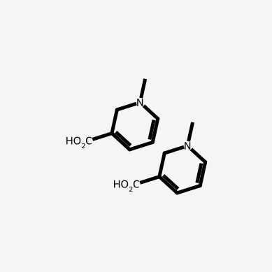 CN1C=CC=C(C(=O)O)C1.CN1C=CC=C(C(=O)O)C1